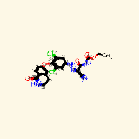 CCOC(=O)NC(=O)C(C#N)=NNc1cc(Cl)c(Oc2ccc3c(c2)CCNC3=O)c(Cl)c1